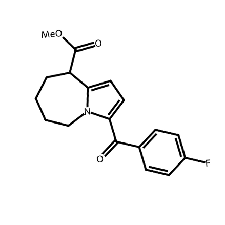 COC(=O)C1CCCCn2c(C(=O)c3ccc(F)cc3)ccc21